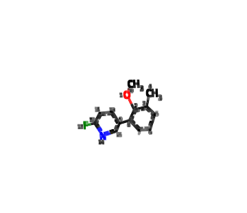 COc1c(C)cccc1-c1ccc(F)nc1